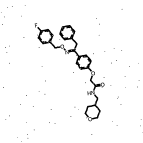 O=C(COc1ccc(C(Cc2ccccc2)=NOCc2ccc(F)cc2)cc1)NCC1CCOCC1